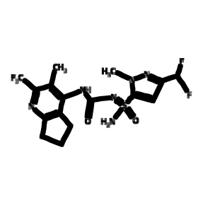 Cc1c(C(F)(F)F)nc2c(c1NC(=O)N=S(N)(=O)c1cc(C(F)F)nn1C)CCC2